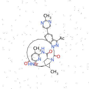 CC(=O)c1nn2c3c(cc(-c4cnc(C)nc4)cc13)CCCCCCCC(=O)NCC[C@@]13C[C@@H](C(=O)Nc4nc(Br)ccc4C)N(C(=O)C2)C1[C@@H]3C